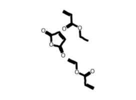 C=CC(=O)OCC.C=COC(=O)C=C.O=C1C=CC(=O)O1